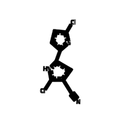 N#Cc1cc(-c2ccc(Cl)s2)[nH]c1Cl